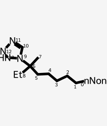 CCCCCCCCCCCCCCC(C)(CC)N1C=NNN1